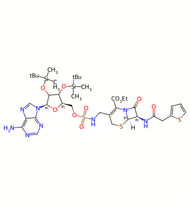 CCOC(=O)C1=C(CNS(=O)(=O)OC[C@H]2O[C@@H](n3cnc4c(N)ncnc43)C(O[Si](C)(C)C(C)(C)C)C2O[Si](C)(C)C(C)(C)C)CS[C@@H]2[C@H](NC(=O)Cc3cccs3)C(=O)N12